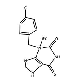 CC(C)[N+]1(Cc2ccc(Cl)cc2)C(=O)NC(=S)c2[nH]cnc21